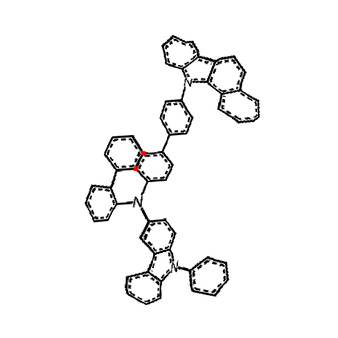 c1ccc(-c2ccccc2N(c2ccc(-c3ccc(-n4c5ccccc5c5ccc6ccccc6c54)cc3)cc2)c2ccc3c(c2)c2ccccc2n3-c2ccccc2)cc1